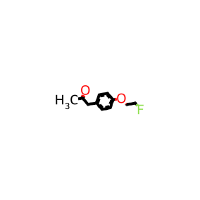 CC(=O)Cc1ccc(OCCF)cc1